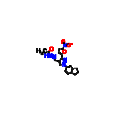 CC(=O)NN=Cc1cn(-c2ccc3c(c2)CCC3)nc1-c1ccc([N+](=O)[O-])o1